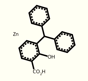 O=C(O)c1cccc(C(c2ccccc2)c2ccccc2)c1O.[Zn]